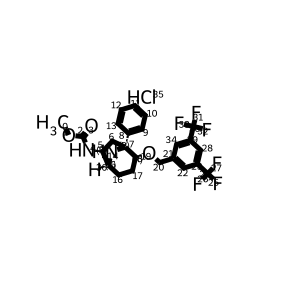 COC(=O)N[C@@H]1C[C@]2(c3ccccc3)N[C@H]1CC[C@H]2OCc1cc(C(F)(F)F)cc(C(F)(F)F)c1.Cl